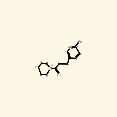 O=C(CCc1ccc(Br)nc1)N1CCCCC1